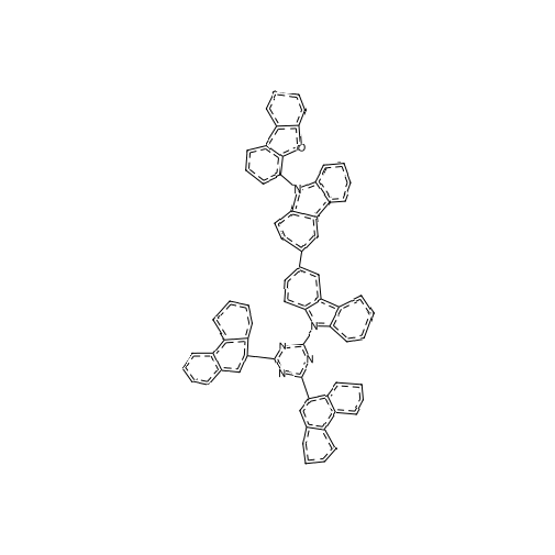 c1ccc2c(c1)cc(-c1nc(-c3cc4ccccc4c4ccccc34)nc(-n3c4ccccc4c4cc(-c5ccc6c(c5)c5ccccc5n6-c5cccc6c5oc5ccccc56)ccc43)n1)c1ccccc12